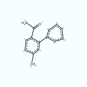 Cc1ccc(C(N)=O)c(-c2ccccc2)c1